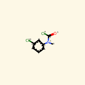 CN(C(=O)Cl)c1cccc(Cl)c1